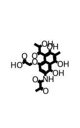 CC(=O)C(=O)Nc1cc(OCC(=O)O)c2c(C(=O)C(C)O)c(O)c(C)c(O)c2c1O